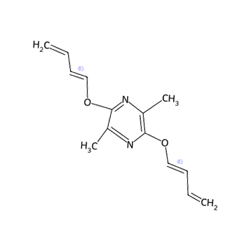 C=C/C=C/Oc1nc(C)c(O/C=C/C=C)nc1C